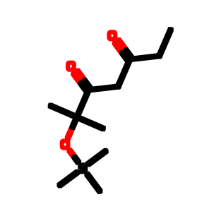 CCC(=O)CC(=O)C(C)(C)O[Si](C)(C)C